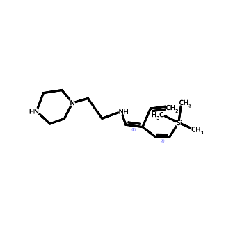 C=CC(/C=C\[Si](C)(C)C)=C\NCCN1CCNCC1